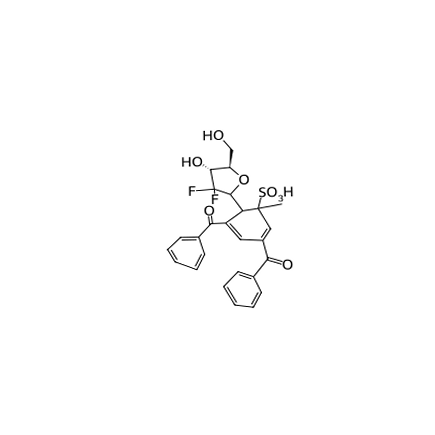 CC1(S(=O)(=O)O)C=C(C(=O)c2ccccc2)C=C(C(=O)c2ccccc2)C1C1O[C@H](CO)[C@@H](O)C1(F)F